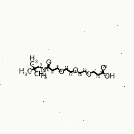 CC(C)(C)CNC(=O)CCOCCOCCOCCC(=O)O